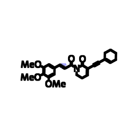 COc1cc(/C=C/C(=O)N2CCC=C(C#CC3=CCCCC3)C2=O)cc(OC)c1OC